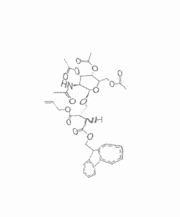 C=CCOC(=O)[C@H](CO[C@@H]1OC(COC(C)=O)[C@@H](OC(C)=O)C(OC(C)=O)[C@@H]1NC(C)=O)NC(=O)OCC1c2ccccc2-c2ccccc21